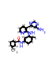 Cc1ccc(NC(=O)c2cccc(C(F)(F)F)c2)cc1Nc1ncccc1-c1cc(N)ncn1